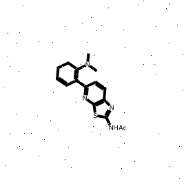 CC(=O)Nc1nc2ccc(C3=C(N(C)C)CCC=C3)nc2s1